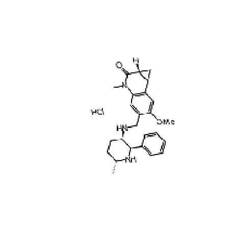 COc1cc2c(cc1CN[C@@H]1CC[C@@H](C)N[C@@H]1c1ccccc1)N(C)C(=O)[C@@H]1CC21.Cl